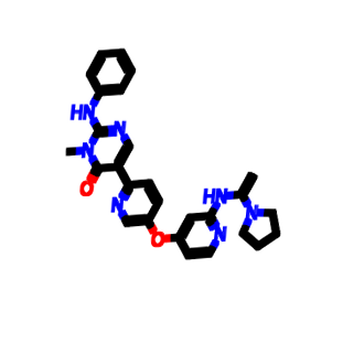 C=C(Nc1cc(Oc2ccc(-c3cnc(Nc4ccccc4)n(C)c3=O)nc2)ccn1)N1CCCC1